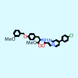 COC(=O)C(Cc1ccc(OCc2cccc(OC)c2)cc1)NC(=O)c1cn2ccc(-c3ccc(Cl)cc3)cc2n1